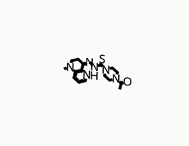 CC(=O)N1CCN(C(=S)N/N=C2/CCN(C)c3cccnc32)CC1